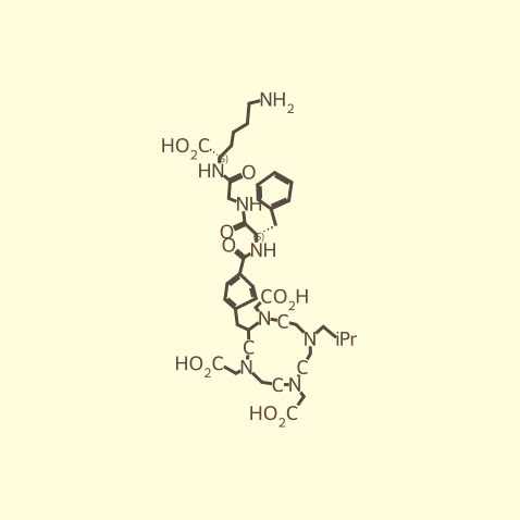 CC(C)CN1CCN(CC(=O)O)CCN(CC(=O)O)CC(Cc2ccc(C(=O)N[C@@H](Cc3ccccc3)C(=O)NCC(=O)N[C@@H](CCCCN)C(=O)O)cc2)N(CC(=O)O)CC1